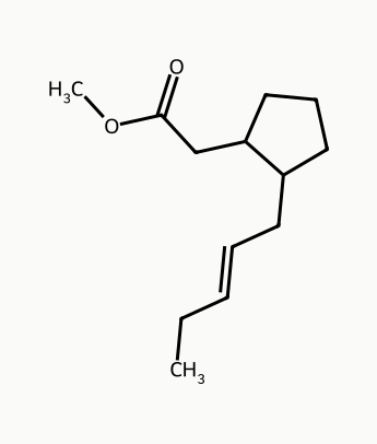 CCC=CCC1CCCC1CC(=O)OC